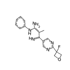 C/C(C(=N)c1cnc(C2(F)COC2)nc1)=C(\N)Nc1ccccc1